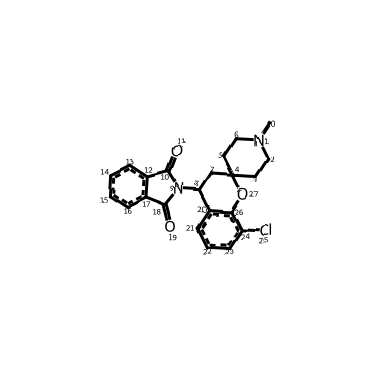 CN1CCC2(CC1)CC(N1C(=O)c3ccccc3C1=O)c1cccc(Cl)c1O2